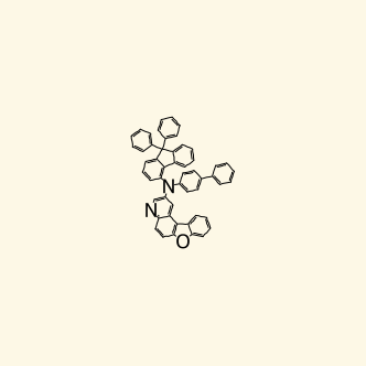 c1ccc(-c2ccc(N(c3cnc4ccc5oc6ccccc6c5c4c3)c3cccc4c3-c3ccccc3C4(c3ccccc3)c3ccccc3)cc2)cc1